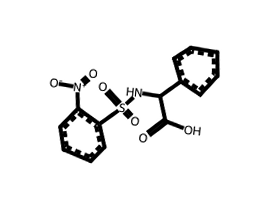 O=C(O)C(NS(=O)(=O)c1ccccc1[N+](=O)[O-])c1ccccc1